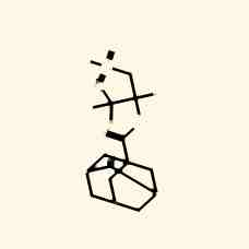 CC(CS(=O)(=O)O)(OC(=O)C12CC3CC(C1)C(=O)C(C3)C2)C(F)(F)F